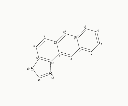 c1ccc2cc3c(ccc4scnc43)cc2c1